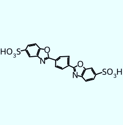 O=S(=O)(O)c1ccc2oc(-c3ccc(-c4nc5ccc(S(=O)(=O)O)cc5o4)cc3)nc2c1